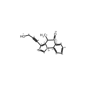 CC1c2c(C#CCO)ncn2-c2ccccc2[N+]1=O